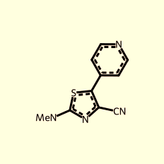 CNc1nc(C#N)c(-c2ccncc2)s1